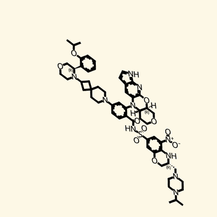 CC(C)Oc1ccccc1[C@@H]1COCCN1C1CC2(CCN(c3ccc(C(=O)NS(=O)(=O)c4cc5c(c([N+](=O)[O-])c4)N[C@H](CN4CCN(C(C)C)CC4)CO5)c(N4c5cc6cc[nH]c6nc5O[C@H]5COCC[C@@H]54)c3)CC2)C1